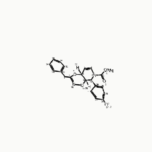 COC(=O)N1C=C[C@H]2OC(Cc3ccccc3)=NO[C@H]2[C@@H]1c1ccc(C(F)(F)F)cc1